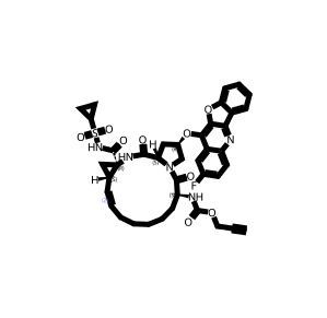 C#CCOC(=O)N[C@H]1CCCCC/C=C\[C@@H]2C[C@@]2(C(=O)NS(=O)(=O)C2CC2)NC(=O)[C@@H]2C[C@@H](Oc3c4cc(F)ccc4nc4c3oc3ccccc34)CN2C1=O